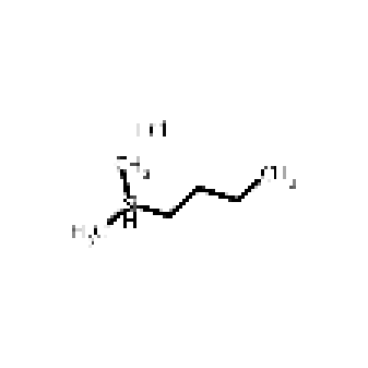 CCCC[SiH](C)C.Cl